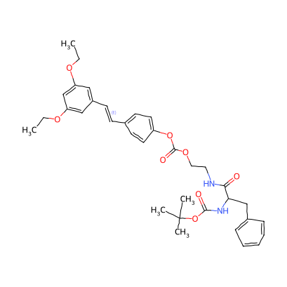 CCOc1cc(/C=C/c2ccc(OC(=O)OCCNC(=O)C(Cc3ccccc3)NC(=O)OC(C)(C)C)cc2)cc(OCC)c1